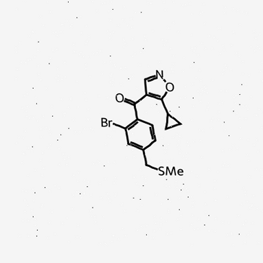 CSCc1ccc(C(=O)c2cnoc2C2CC2)c(Br)c1